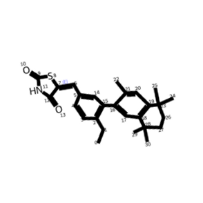 CCc1ccc(/C=C2/SC(=O)NC2=O)cc1-c1cc2c(cc1C)C(C)(C)CCC2(C)C